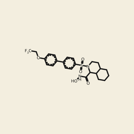 O=C(NO)C1C2CCCCC2CCN1S(=O)(=O)c1ccc(-c2ccc(OCC(F)(F)F)cc2)cc1